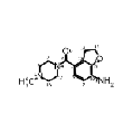 CN1CCN(C(=O)c2ccc(N)c3c2CCO3)CC1